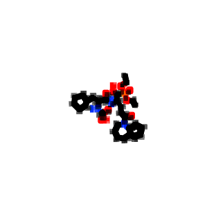 CCOP(=O)(OCC)C(O)[C@H](CCC(=O)N1CCCCc2ccccc21)NC(=O)[C@H](CC1CCCCC1)NC(=O)O